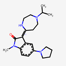 CC(C)N1CCN/C(=C2\C(=O)N(C)c3ccc(N4CCCC4)cc32)CC1